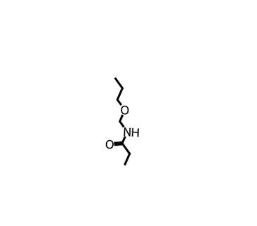 CCCOCNC(=O)CC